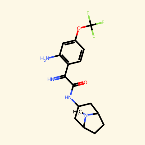 CN1C2CCC1CC(NC(=O)C(=N)c1ccc(OC(F)(F)F)cc1N)C2